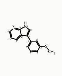 CSc1cccc(-c2c[nH]c3ncccc23)c1